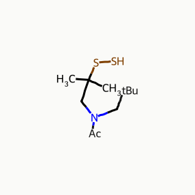 CC(=O)N(CC(C)(C)C)CC(C)(C)SS